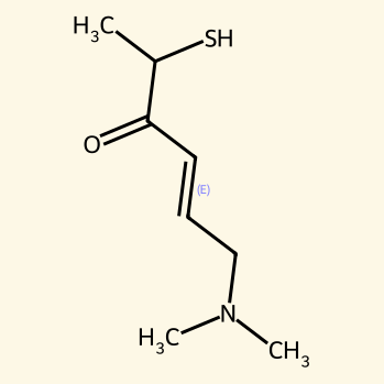 CC(S)C(=O)/C=C/CN(C)C